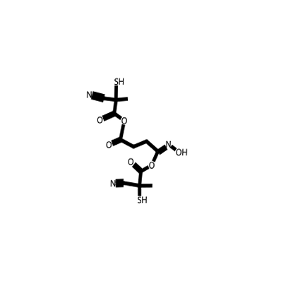 CC(S)(C#N)C(=O)OC(=O)CC/C(=N/O)OC(=O)C(C)(S)C#N